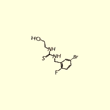 OCCNC(=S)NCc1cc(Br)ccc1F